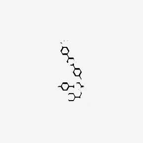 CCCCCCCOc1ccc(-c2cnc(-c3ccc(C[C@H](NC(=O)c4ccc(C(C)(C)C)cc4)C(=O)NCC(C(=O)O)C4CCOCC4)cc3)nc2)cc1